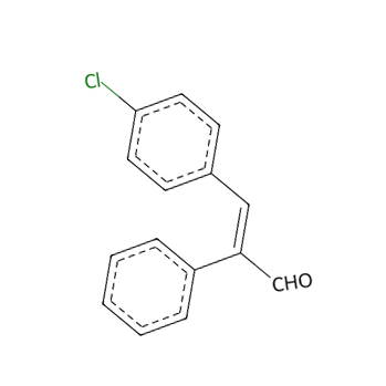 O=CC(=Cc1ccc(Cl)cc1)c1ccccc1